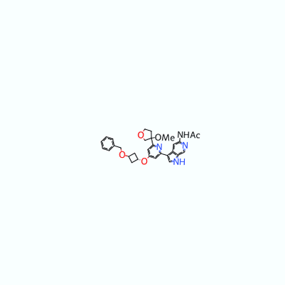 COC1(c2cc(O[C@H]3C[C@H](OCc4ccccc4)C3)cc(-c3c[nH]c4cnc(NC(C)=O)cc34)n2)CCOC1